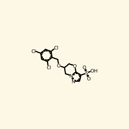 O=S(=O)(O)c1cnn2c1OCC(OCc1c(Cl)cc(Cl)cc1Cl)C2